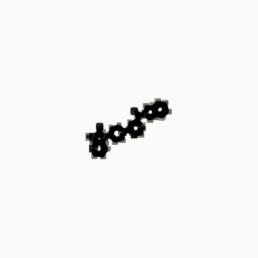 O=C(c1cc(N2CCC(n3c(=O)[nH]c4ncccc43)CC2)ncn1)N1Cc2ccccc2C1